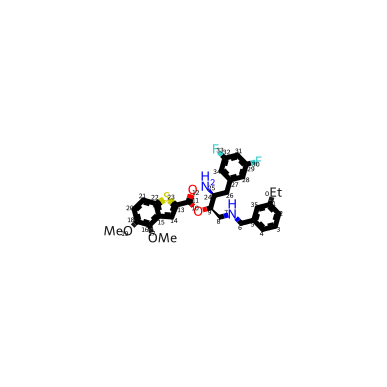 CCc1cccc(CNC[C@@H](OC(=O)c2cc3c(OC)c(OC)ccc3s2)[C@@H](N)Cc2cc(F)cc(F)c2)c1